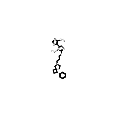 Cc1ncoc1-c1nnc(SCCCN2CC[C@@]3(CC[C@H]3c3ccccc3)C2)n1C